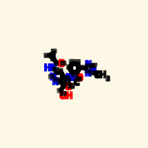 COc1c(Nc2cc(NC(=O)C3CC3)nnc2C(=O)CO)cccc1-c1ncn(C)n1